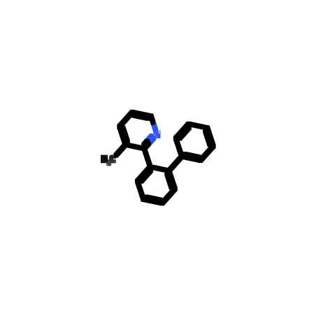 Cc1cccnc1-c1ccccc1-c1ccccc1